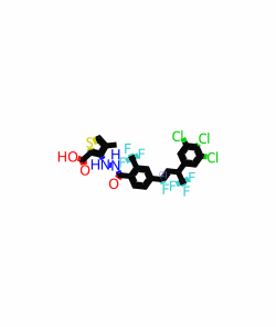 Cc1csc(C(=O)O)c1NNC(=O)c1ccc(/C(F)=C/C(c2cc(Cl)c(Cl)c(Cl)c2)C(F)(F)F)cc1C(F)(F)F